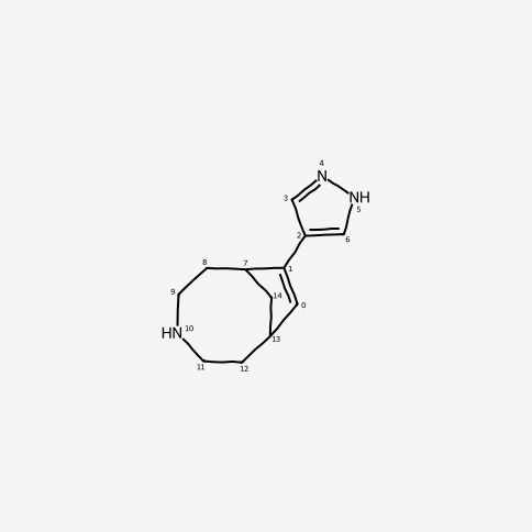 C1=C(c2cn[nH]c2)C2CCNCCC1C2